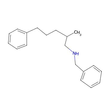 CC(CCCc1ccccc1)CNCc1ccccc1